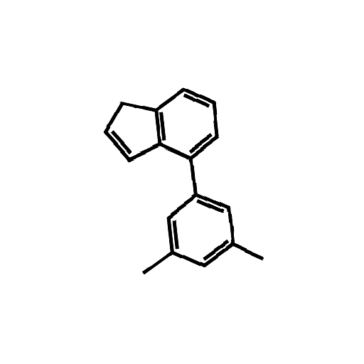 Cc1cc(C)cc(-c2cccc3c2C=CC3)c1